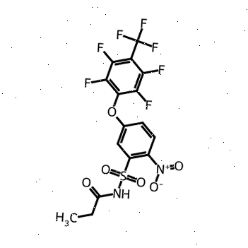 CCC(=O)NS(=O)(=O)c1cc(Oc2c(F)c(F)c(C(F)(F)F)c(F)c2F)ccc1[N+](=O)[O-]